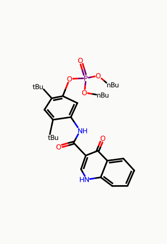 CCCCOP(=O)(OCCCC)Oc1cc(NC(=O)c2c[nH]c3ccccc3c2=O)c(C(C)(C)C)cc1C(C)(C)C